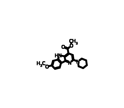 COC(=O)c1cc(N2CCCCC2)nc2c1[nH]c1cc(OC)ccc12